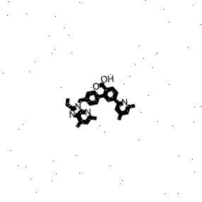 CCc1nc2c(C)cc(C)nc2n1Cc1ccc(-c2cc(-c3cc(C)cc(C)n3)ccc2C(=O)O)cc1